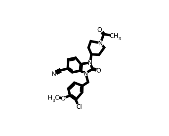 COc1ccc(Cn2c(=O)n(C3CCN(C(C)=O)CC3)c3ccc(C#N)cc32)cc1Cl